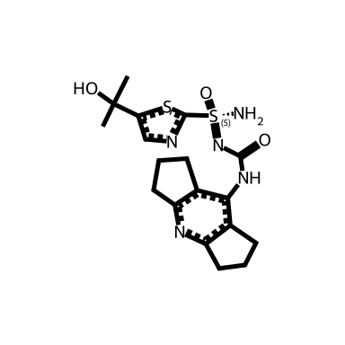 CC(C)(O)c1cnc([S@@](N)(=O)=NC(=O)Nc2c3c(nc4c2CCC4)CCC3)s1